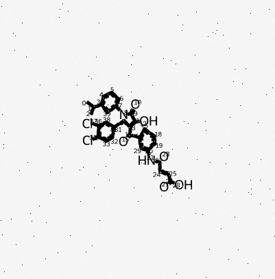 CC(C)c1cccc(N2C(=O)C(O)=C(C(=O)c3cccc(NC(=O)C=CC(=O)O)c3)C2c2ccc(Cl)c(Cl)c2)c1